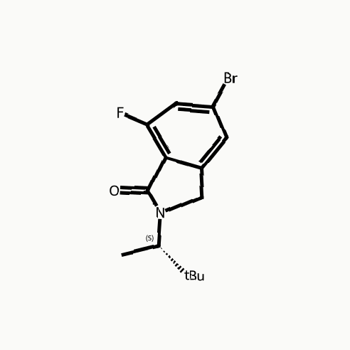 C[C@H](N1Cc2cc(Br)cc(F)c2C1=O)C(C)(C)C